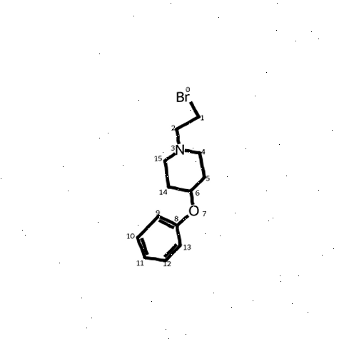 BrCCN1CCC(Oc2ccccc2)CC1